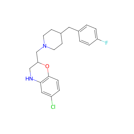 Fc1ccc(CC2CCN(CC3CNc4cc(Cl)ccc4O3)CC2)cc1